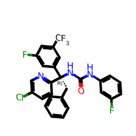 O=C(Nc1cccc(F)c1)N[C@](Cc1ccccc1)(c1cc(F)cc(C(F)(F)F)c1)c1ccc(Cl)cn1